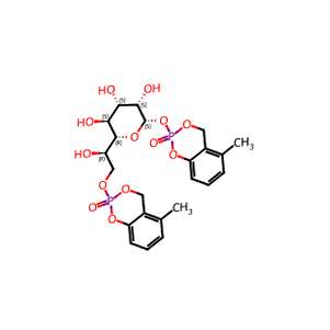 Cc1cccc2c1COP(=O)(OC[C@@H](O)[C@H]1O[C@@H](OP3(=O)OCc4c(C)cccc4O3)[C@@H](O)[C@@H](O)[C@@H]1O)O2